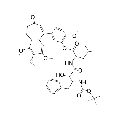 COc1ccc(C2=CC(=O)CCc3c2cc(OC)c(OC)c3OC)cc1OC(=O)C(CC(C)C)NC(=O)C(O)C(Cc1ccccc1)NC(=O)OC(C)(C)C